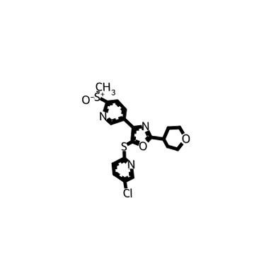 C[S+]([O-])c1ccc(-c2nc(C3CCOCC3)oc2Sc2ccc(Cl)cn2)cn1